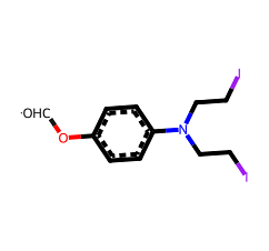 O=[C]Oc1ccc(N(CCI)CCI)cc1